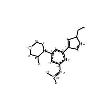 CCC1C=C(c2cc(N3CCOCC3C)cc(N=S(C)C)n2)C=N1